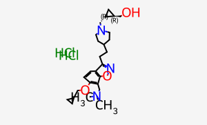 CN(C)Cc1c(OCC2CC2)ccc2c(CCC3CCN(C[C@@H]4C[C@H]4CO)CC3)noc12.Cl.Cl